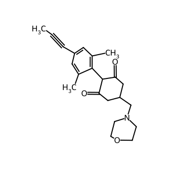 CC#Cc1cc(C)c(C2C(=O)CC(CN3CCOCC3)CC2=O)c(C)c1